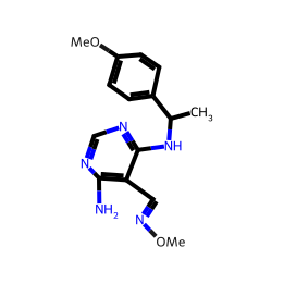 CON=Cc1c(N)ncnc1NC(C)c1ccc(OC)cc1